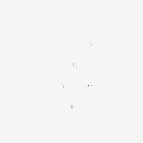 COc1cc[nH]c(=O)c1-c1nc(C)c(C(=O)NCc2ccc[n+]([O-])c2)s1